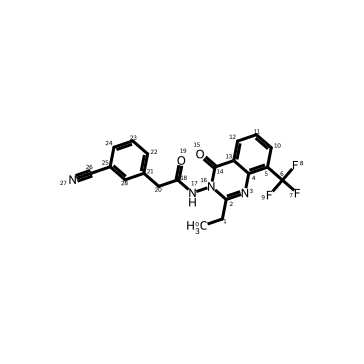 CCc1nc2c(C(F)(F)F)cccc2c(=O)n1NC(=O)Cc1cccc(C#N)c1